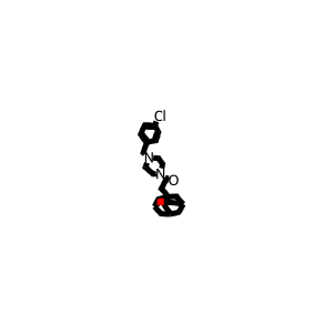 O=C(CC12CC3CC(CC(C3)C1)C2)N1CCN(Cc2ccc(Cl)cc2)CC1